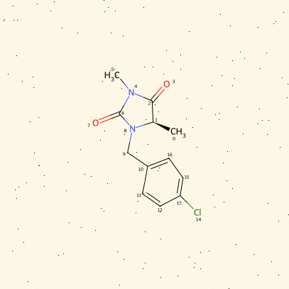 C[C@@H]1C(=O)N(C)C(=O)N1Cc1ccc(Cl)cc1